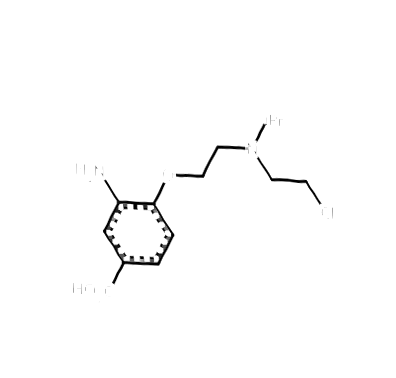 CC(C)N(CCCl)CCOc1ccc(C(=O)O)cc1N